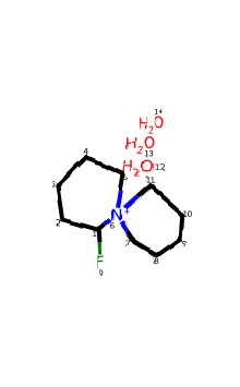 FC1CCCC[N+]12CCCCC2.O.O.O